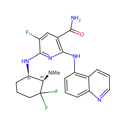 CN[C@@H]1[C@H](Nc2nc(Nc3cccc4ncccc34)c(C(N)=O)cc2F)CCCC1(F)F